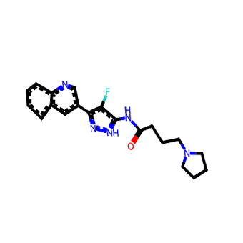 O=C(CCCN1CCCC1)Nc1[nH]nc(-c2cnc3ccccc3c2)c1F